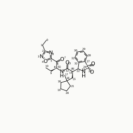 CCc1noc(C(=O)[C@H](CC)NC(=O)[C@H](CC2(C)CCCC2)C2NS(=O)(=O)c3ccccc32)n1